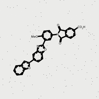 COc1ccc(N2C(=O)c3ccc(C(=O)O)cc3C2=O)cc1-c1nc2cc(-c3cc4ccccc4o3)ccc2o1